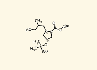 CC(CO)C[C@@H]1C[C@@H](O[Si](C)(C)C(C)(C)C)CN1C(=O)OC(C)(C)C